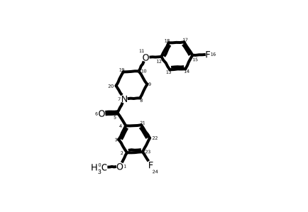 COc1cc(C(=O)N2CCC(Oc3ccc(F)cc3)CC2)ccc1F